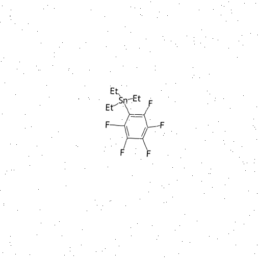 C[CH2][Sn]([CH2]C)([CH2]C)[c]1c(F)c(F)c(F)c(F)c1F